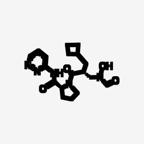 O=CN(O)C[C@@H](CC1CCC1)C(=O)N1CCC[C@H]1C(=O)Nc1cccnn1